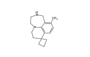 Cc1ccc2c3c1CNCCN3CCC21CCC1